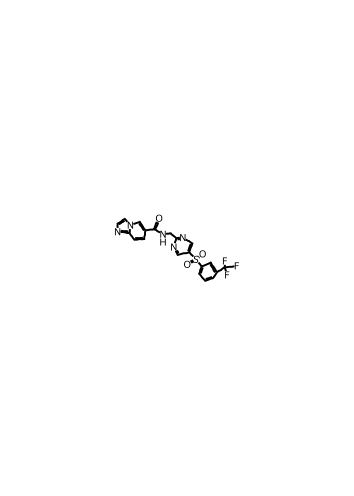 O=C(NCc1ncc(S(=O)(=O)c2cccc(C(F)(F)F)c2)cn1)c1ccc2nccn2c1